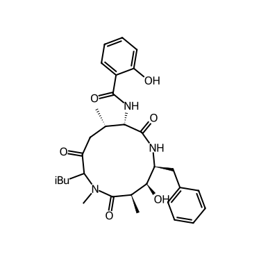 CCC(C)C1C(=O)C[C@H](C)[C@H](NC(=O)c2ccccc2O)C(=O)N[C@@H](Cc2ccccc2)[C@@H](O)[C@@H](C)C(=O)N1C